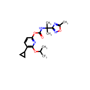 Cc1nc(C(C)(C)NC(=O)Oc2ccc(C3CC3)c(OC(C)C(F)(F)F)n2)no1